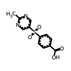 Cc1ncc(S(=O)(=O)c2ccc(C(=O)O)cc2)cn1